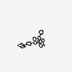 CC1(C)c2ccccc2-c2c(N(c3ccc(-c4ccc(C56CC7CC(CC(C7)C5)C6)cc4)cc3)c3ccc(-c4ccccc4)cc3-c3ccccc3)cccc21